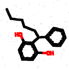 CCCCCC(c1ccccc1)c1c(O)cccc1O